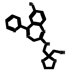 OCC1(CNC2=Nc3ccc(Br)cc3C(c3ccccn3)=NC2)OCCO1